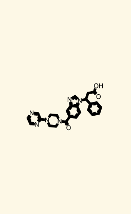 O=C(O)CC(c1ccccc1)n1cnc2cc(C(=O)N3CCN(c4cnccn4)CC3)ccc21